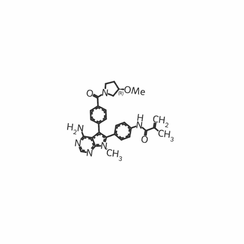 C=C(C)C(=O)Nc1ccc(-c2c(-c3ccc(C(=O)N4CC[C@@H](OC)C4)cc3)c3c(N)ncnc3n2C)cc1